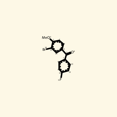 COc1ccc(C(=O)c2ccc(F)cc2)cc1Br